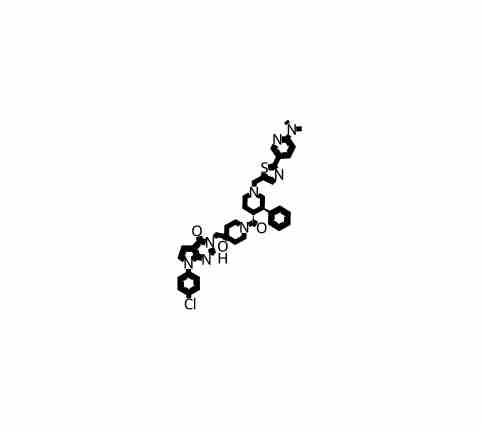 CN(C)c1ccc(-c2ncc(CN3CC[C@@H](C(=O)N4CCC(O)(Cn5cnc6c(ccn6-c6ccc(Cl)cc6)c5=O)CC4)[C@H](c4ccccc4)C3)s2)cn1